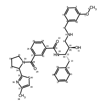 COc1cccc(CNC[C@@H](O)[C@H](Cc2ccccc2)NC(=O)c2cccc(C(=O)N3CCCC3c3nc(C)cs3)c2)c1